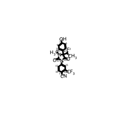 CC(F)C1(c2ccc(O)cc2)C(=O)N(c2ccc(C#N)c(C(F)(F)F)c2)C(=O)N1C